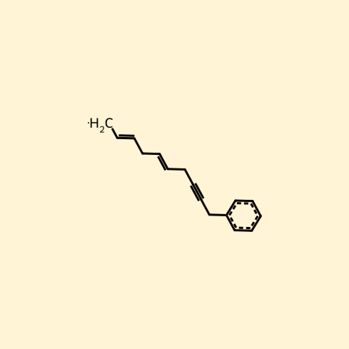 [CH2]/C=C/C/C=C/CC#CCc1ccccc1